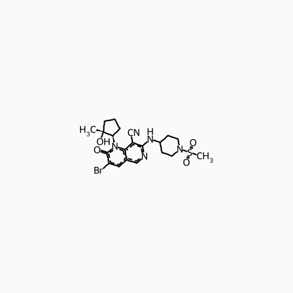 C[C@@]1(O)CCC[C@H]1n1c(=O)c(Br)cc2cnc(NC3CCN(S(C)(=O)=O)CC3)c(C#N)c21